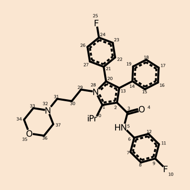 CC(C)c1c(C(=O)Nc2ccc(F)cc2)c(-c2ccccc2)c(-c2ccc(F)cc2)n1CCCN1CCOCC1